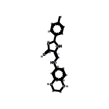 Cc1ccc(C2N/C(=C/Nc3ccc4c(c3)OCCO4)C(=O)O2)cc1